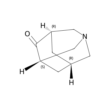 O=C1[C@@H]2C[C@H]3C[C@H]1CN(C3)C2